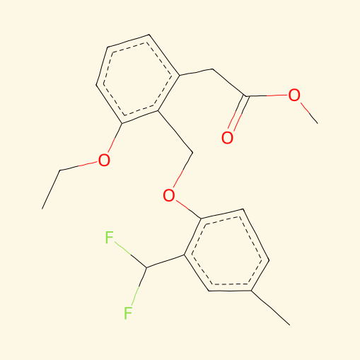 CCOc1cccc(CC(=O)OC)c1COc1ccc(C)cc1C(F)F